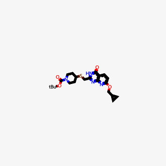 CC(C)(C)OC(=O)N1CCC(SCc2nc3nc(OCC4CC4)ccc3c(=O)[nH]2)CC1